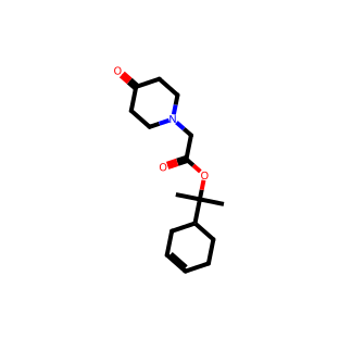 CC(C)(OC(=O)CN1CCC(=O)CC1)C1CC=CCC1